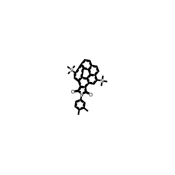 Cc1ccc(-n2c(=O)c3c4cc([Si](C)(C)C)c5ccc6ccc7c([Si](C)(C)C)cc(c3c2=O)c2c7c6c5c42)cc1C